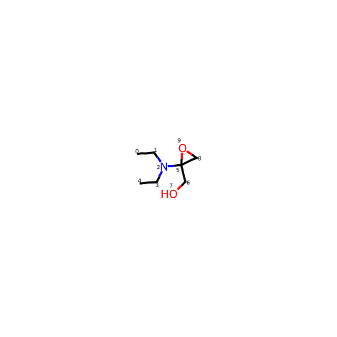 CCN(CC)C1(CO)CO1